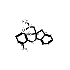 Cc1ccccc1OC1c2ccccc2CC1(O)CN(C)C